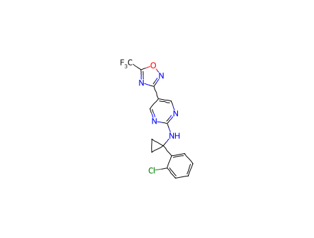 FC(F)(F)c1nc(-c2cnc(NC3(c4ccccc4Cl)CC3)nc2)no1